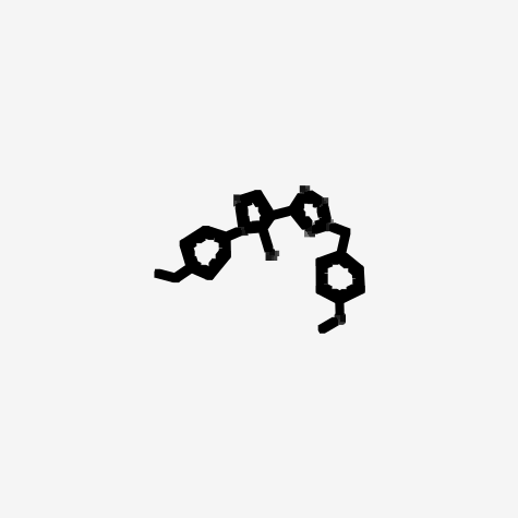 CCc1ccc(-n2ncc(-c3nnn(Cc4ccc(OC)cc4)n3)c2Br)cc1